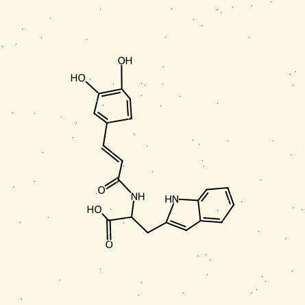 O=C(/C=C/c1ccc(O)c(O)c1)NC(Cc1cc2ccccc2[nH]1)C(=O)O